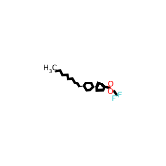 CCCCCCCCCC[C@H]1CC[C@H](c2ccc(C(=O)OCC(F)F)cc2)CC1